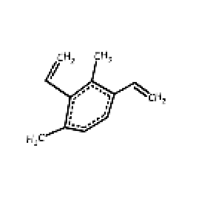 C=Cc1ccc(C)c(C=C)c1C